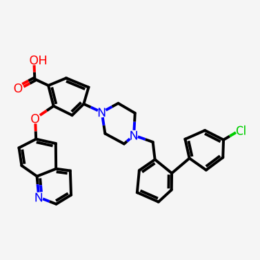 O=C(O)c1ccc(N2CCN(Cc3ccccc3-c3ccc(Cl)cc3)CC2)cc1Oc1ccc2ncccc2c1